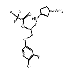 NC1CC[C@H](NC[C@@H](COc2ccc(Cl)c(F)c2)OC(=O)C(F)(F)F)C1